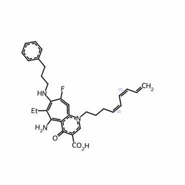 C=C/C=C\C=C/CCCn1cc(C(=O)O)c(=O)c2c1=C=C(F)C(NCCCc1ccccc1)=C(CC)C=2N